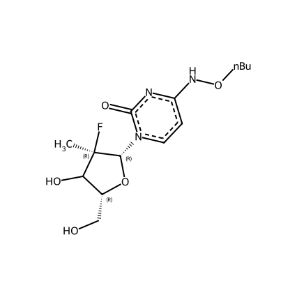 CCCCONc1ccn([C@@H]2O[C@H](CO)C(O)[C@@]2(C)F)c(=O)n1